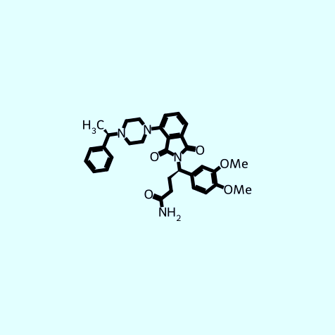 COc1ccc([C@@H](CCC(N)=O)N2C(=O)c3cccc(N4CCN([C@H](C)c5ccccc5)CC4)c3C2=O)cc1OC